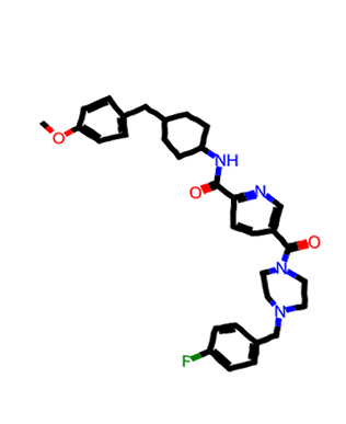 COc1ccc(CC2CCC(NC(=O)c3ccc(C(=O)N4CCN(Cc5ccc(F)cc5)CC4)cn3)CC2)cc1